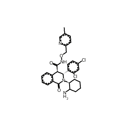 Cc1ccc(CONC(=O)[C@@H]2c3ccccc3C(=O)N([C@H]3CCCCC3N)[C@H]2c2ccc(Cl)cc2Cl)nc1